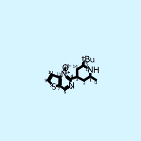 CC1CC(c2ncc3sccc3[n+]2[O-])CC(C(C)(C)C)N1